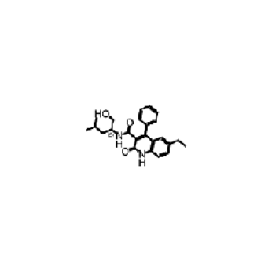 CCc1ccc2[nH]c(=O)c(C(=O)N[C@H](CO)CC(C)C)c(-c3ccccc3)c2c1